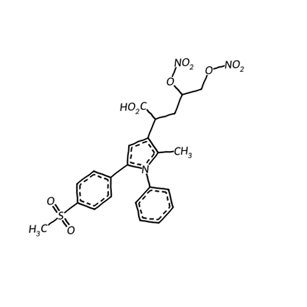 Cc1c(C(CC(CO[N+](=O)[O-])O[N+](=O)[O-])C(=O)O)cc(-c2ccc(S(C)(=O)=O)cc2)n1-c1ccccc1